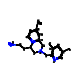 Cc1cnc(CN(CCCCN)Cc2cc(C(C)(C)C)ccn2)c(C)c1